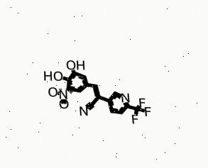 N#CC(=Cc1cc(O)c(O)c([N+](=O)[O-])c1)c1ccc(C(F)(F)F)nc1